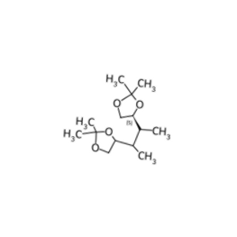 CC(C1COC(C)(C)O1)C(C)[C@H]1COC(C)(C)O1